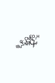 CC(C)(C)[S+]([O-])NC(C#N)[C@@H]1CC(F)(F)CN1C(=O)O